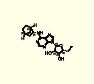 O[C@@H]1[C@H](O)[C@@H](CF)O[C@H]1n1cnc2c(N[C@@H]3C[C@@H]4CC[C@H]3C4)ncnc21